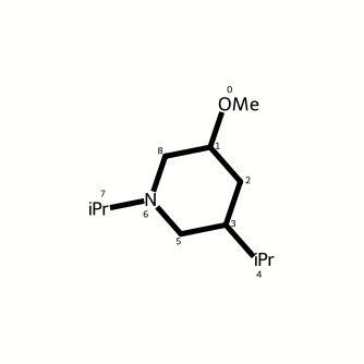 COC1CC(C(C)C)CN(C(C)C)C1